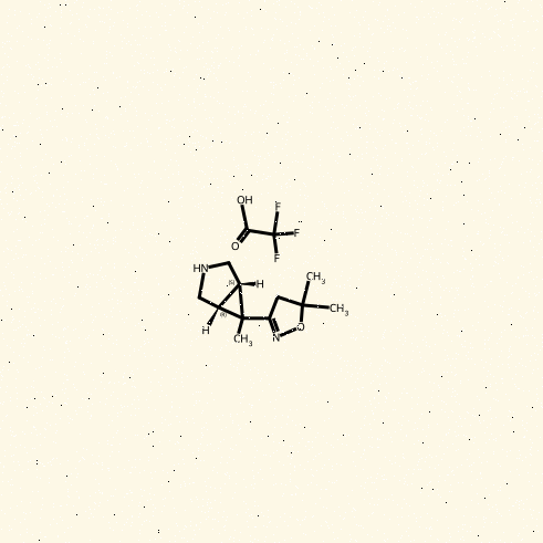 CC1(C)CC(C2(C)[C@@H]3CNC[C@@H]32)=NO1.O=C(O)C(F)(F)F